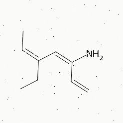 C=C/C(N)=C\C(=C/C)CC